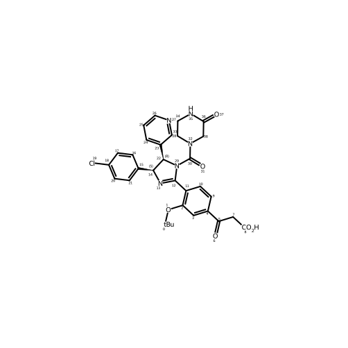 CC(C)(C)Oc1cc(C(=O)CC(=O)O)ccc1C1=N[C@@H](c2ccc(Cl)cc2)[C@@H](c2cccnc2)N1C(=O)N1CCNC(=O)C1